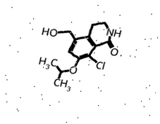 CC(C)Oc1cc(CO)c2c(c1Cl)C(=O)NCC2